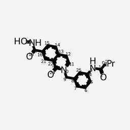 CC(C)C(=O)Nc1cccc(Cn2ccc3ccc(C(=O)NO)cc3c2=O)c1